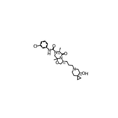 C[C@H]1C(=O)N2[C@@H](CCCN3CCC4(CC4)[C@H](O)C3)COC2(C)CN1C(=O)Nc1cccc(Cl)c1